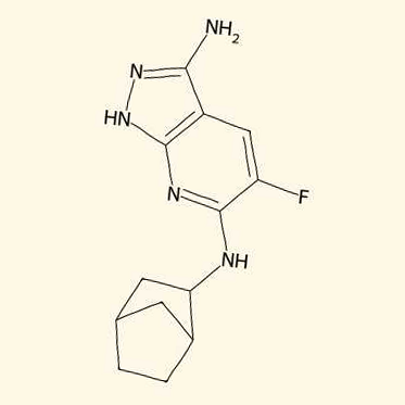 Nc1n[nH]c2nc(NC3CC4CCC3C4)c(F)cc12